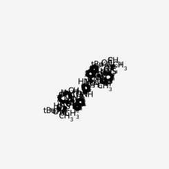 C[C@@H](C(=S)N[C@H]1CCS[C@H]2CC(C)(C)[C@@H](C(=O)N[C@H]3c4ccccc4CC[C@H]3C(=O)NC3CCC(NC(=O)[C@@H]4CCc5ccccc5[C@@H]4NC(=O)[C@H]4N5C(=O)[C@@H](NC(=S)[C@H](C)N(C)C(=O)OC(C)(C)C)CCS[C@H]5CC4(C)C)CC3)N2C1=O)N(C)C(=O)OC(C)(C)C